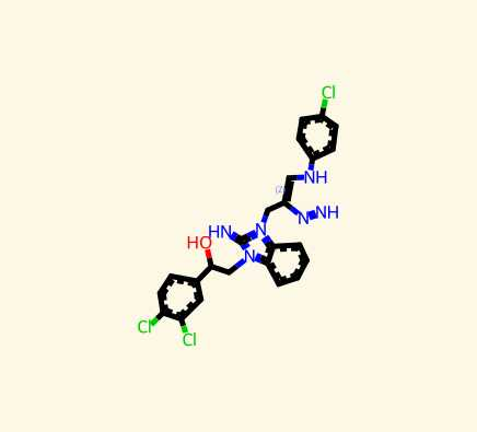 N=N/C(=C\Nc1ccc(Cl)cc1)Cn1c(=N)n(CC(O)c2ccc(Cl)c(Cl)c2)c2ccccc21